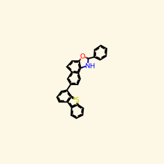 c1ccc(C2Nc3c(ccc4cc(-c5cccc6c5sc5ccccc56)ccc34)O2)cc1